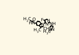 C=CC(=O)Nc1ccc2c(c1)c(C)c(C)n2-c1nc(Nc2cnn(C)c2)ncc1F